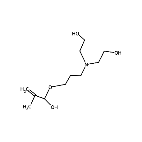 C=C(C)C(O)OCCCN(CCO)CCO